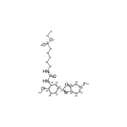 CCOC(=O)CCCCCNC(=O)Nc1cc(-c2nc3ccc(F)cc3o2)ccc1OC